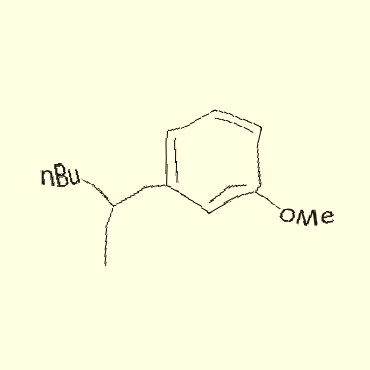 CCCCC(C)c1cccc(OC)c1